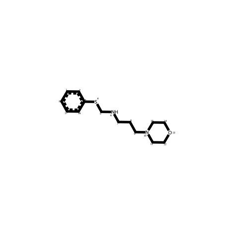 c1ccc(SCNCCCN2CCOCC2)cc1